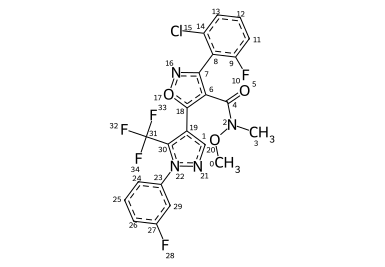 CON(C)C(=O)c1c(-c2c(F)cccc2Cl)noc1-c1cnn(-c2cccc(F)c2)c1C(F)(F)F